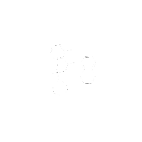 CC(CC(C)(O)N1CCOCC1)c1ccccc1C(F)(F)F.c1ccc2ncccc2c1